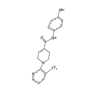 CC(C)(C)c1ccc(NC(=O)C2=CCN(c3ncccc3C(F)(F)F)CC2)cc1